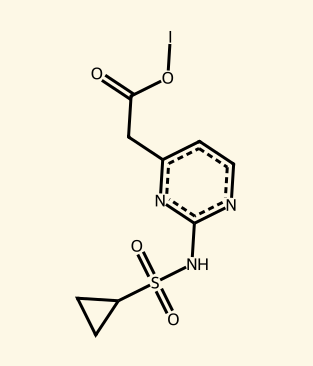 O=C(Cc1ccnc(NS(=O)(=O)C2CC2)n1)OI